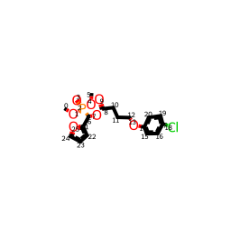 COP(=O)(OC)C(OC(=O)CCCOc1ccc(Cl)cc1)c1ccco1